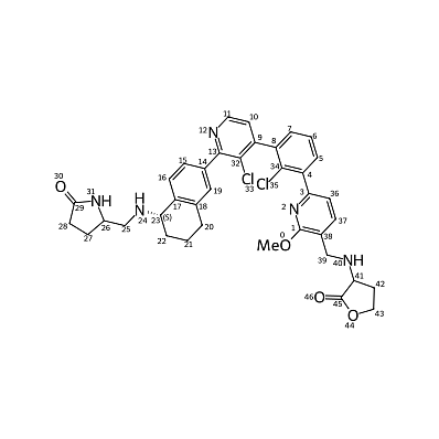 COc1nc(-c2cccc(-c3ccnc(-c4ccc5c(c4)CCC[C@@H]5NCC4CCC(=O)N4)c3Cl)c2Cl)ccc1CNC1CCOC1=O